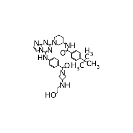 CC(C)(C)c1ccc(C(=O)NC2CCCN(c3nc(Nc4ccc(C(=O)N5CC(NCCO)C5)cc4)n4ccnc4n3)C2)cc1